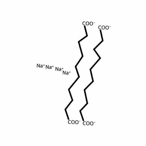 O=C([O-])CCCCCCCCC(=O)[O-].O=C([O-])CCCCCCCCC(=O)[O-].[Na+].[Na+].[Na+].[Na+]